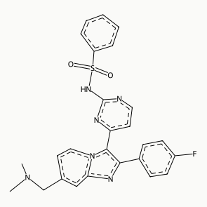 CN(C)Cc1ccn2c(-c3ccnc(NS(=O)(=O)c4ccccc4)n3)c(-c3ccc(F)cc3)nc2c1